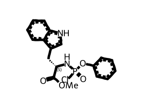 COC(=O)[C@H](Cc1c[nH]c2ccccc12)NP(=O)(Cl)Oc1ccccc1